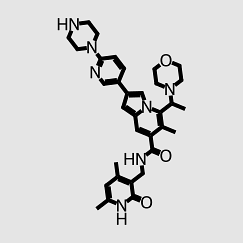 Cc1cc(C)c(CNC(=O)c2cc3cc(-c4ccc(N5CCNCC5)nc4)cn3c(C(C)N3CCOCC3)c2C)c(=O)[nH]1